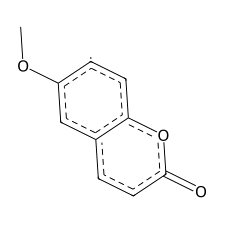 COc1[c]cc2oc(=O)ccc2c1